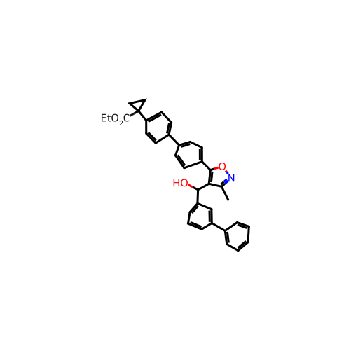 CCOC(=O)C1(c2ccc(-c3ccc(-c4onc(C)c4C(O)c4cccc(-c5ccccc5)c4)cc3)cc2)CC1